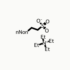 CCCCCCCCCCCS(=O)(=O)[O-].CC[N+](CC)(CC)CC